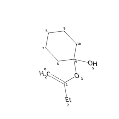 C=C(CC)OC1(O)CCCCC1